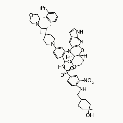 CC(C)c1ccccc1[C@H]1COCCN1[C@@H]1CC2(CCN(c3ccc(C(=O)NS(=O)(=O)c4ccc(NCC5CCC(C)(O)CC5)c([N+](=O)[O-])c4)c(N4c5cc6cc[nH]c6nc5O[C@@H]5CCOC[C@H]54)c3)CC2)[C@H]1C